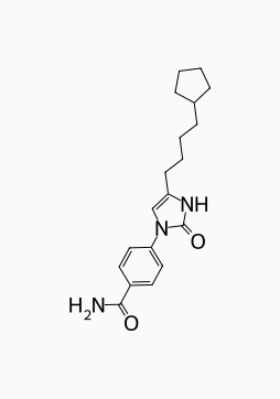 NC(=O)c1ccc(-n2cc(CCCCC3CCCC3)[nH]c2=O)cc1